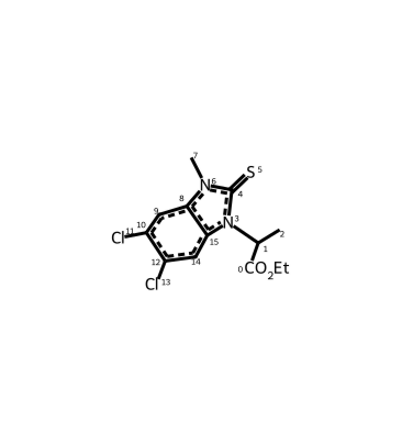 CCOC(=O)C(C)n1c(=S)n(C)c2cc(Cl)c(Cl)cc21